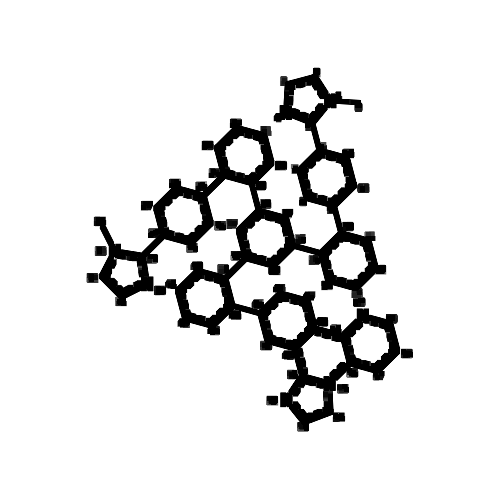 Cn1ccnc1-c1ccc(-c2ccccc2-c2cc(-c3ccccc3-c3ccc(-c4nccn4C)cc3)cc(-c3ccccc3-c3ccc4c(c3)c3nccn3c3cccnc43)c2)cc1